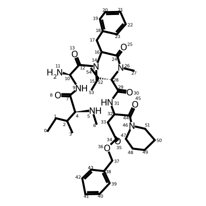 CCC(C)[C@H](NC)C(=O)N[C@@H](N)C(=O)N(C)C(Cc1ccccc1)C(=O)N(C)[C@H](C(=O)NC(CC(=O)OCc1ccccc1)C(=O)N1CCCCC1)C(C)C